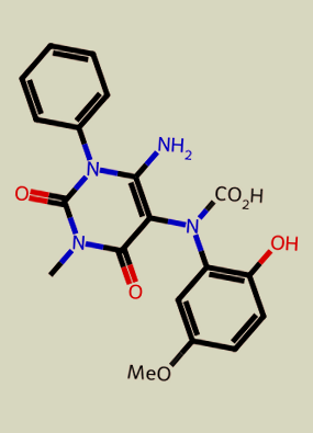 COc1ccc(O)c(N(C(=O)O)c2c(N)n(-c3ccccc3)c(=O)n(C)c2=O)c1